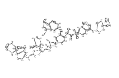 COc1cc(CN2CCN(C3CC4(C3)CN(c3ccc(C(=O)NS(=O)(=O)c5ccc(NC[C@H]6CC[C@](C)(O)CC6)c([N+](=O)[O-])c5)c(Oc5cnc6[nH]cc(F)c6c5)c3)C4)[C@H](c3ccccc3C(C)C)C2)ccc1C1CCOCC1